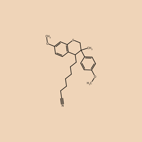 COc1ccc(C2(C)CSc3cc(OC)ccc3C2CCCCCCC#N)cc1